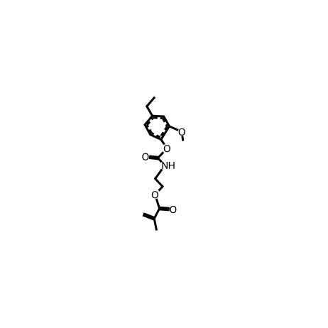 C=C(C)C(=O)OCCNC(=O)Oc1ccc(CC)cc1OC